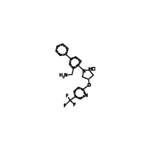 Cl.NCc1cc(-c2ccccc2)ccc1N1CCC(Oc2ccc(C(F)(F)F)cn2)C1